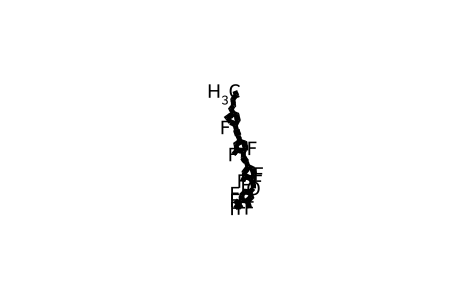 CCCCCc1ccc(C#Cc2cc(F)c(C#Cc3cc(F)c(C(F)(F)Oc4cc(F)c(C(F)(F)F)c(F)c4)c(F)c3)c(F)c2)c(F)c1